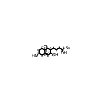 CCC(C)[C@@H](O)CCCC1C[C@@]2(Cl)CC[C@H](O)CC2=C[C@@H]1O